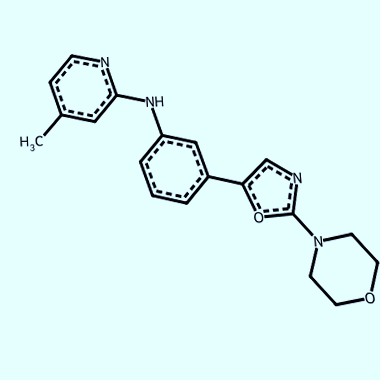 Cc1ccnc(Nc2cccc(-c3cnc(N4CCOCC4)o3)c2)c1